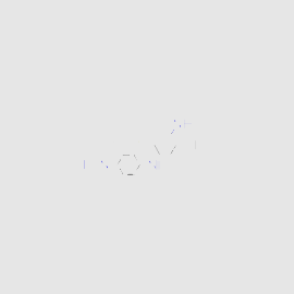 CC1=CC2=C(CC1=N)Sc1c(ccc(N)c1C)N2